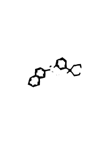 COC1(c2cccc(S(=O)(=O)c3ccc4ccccc4c3)c2)CCOCC1